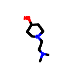 CN(C)CCN1CCC(O)CC1